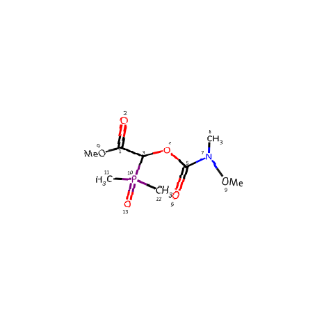 COC(=O)C(OC(=O)N(C)OC)P(C)(C)=O